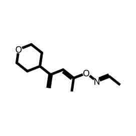 C=C(/C=C(\C)ON=CC)C1CCOCC1